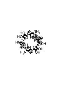 Nc1ncnc2c1ncn2[C@@H]1O[C@H](COP(=O)(O)OP(=O)(O)O)[C@@H](O)[C@H]1O.Nc1ncnc2c1ncn2[C@@H]1O[C@H](COP(=O)(O)OP(=O)(O)OP(=O)(O)O)[C@@H](O)[C@H]1O